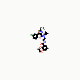 Cc1nc(C(=O)N(CCNC(=O)c2cccc3c2OCCO3)C2CC2)c(-c2cccc(F)c2)s1